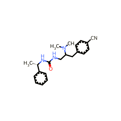 C[C@H](NC(=O)NCC(Cc1ccc(C#N)cc1)N(C)C)c1ccccc1